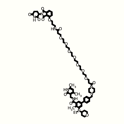 CCN(c1cc(-c2ccc(CN3CCN(C(=O)CCOCCOCCOCCOCCOCCOCCOCCC(=O)NCCCOc4cccc5c4C(=O)N(C4CCC(=O)NC4=O)C5=O)CC3)cc2)cc(C(=O)NCc2c(C)cc(C)[nH]c2=O)c1C)C1CCOCC1